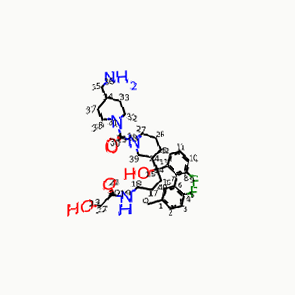 Cc1ccc(F)c(-c2c(F)cccc2C(O)(CCCNC(=O)CO)C2CCCN(C(=O)N3CCC(CN)CC3)C2)c1